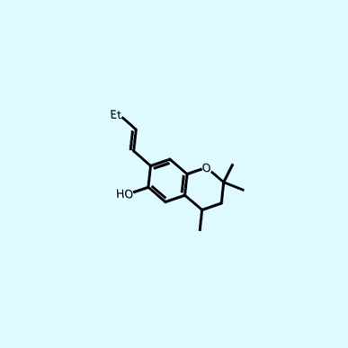 CCC=Cc1cc2c(cc1O)C(C)CC(C)(C)O2